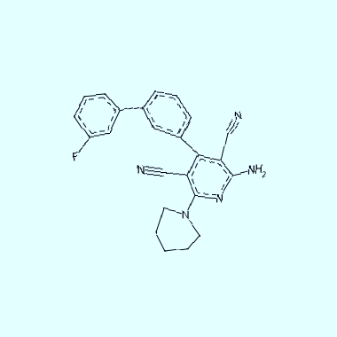 N#Cc1c(N)nc(N2CCCCC2)c(C#N)c1-c1cccc(-c2cccc(F)c2)c1